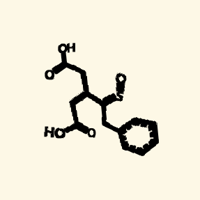 O=S=C(Cc1ccccc1)C(CC(=O)O)CC(=O)O